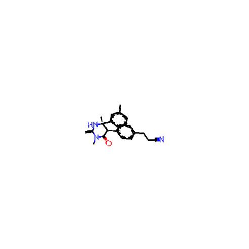 C=C1N[C@](C)(c2cccc(C)c2)[C@@H](c2ccc(CCC#N)cc2)C(=O)N1C